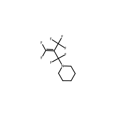 FC(F)=C(C(F)(F)F)C(F)(F)N1CCCCC1